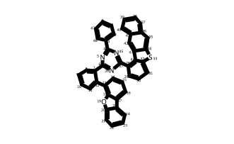 c1ccc(-c2nc(-c3ccccc3-c3cccc4c3oc3ccccc34)nc(-c3cccc4sc5cc6ccccc6cc5c34)n2)cc1